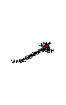 C=CCN1CC[C@]23c4c5ccc(O)c4O[C@H]2C(OCCOCCOCCOCCOCCOCCOCCOC)CC[C@@]3(O)[C@H]1C5